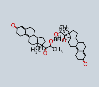 CC(OBOC(C)C(=O)C1(C)CCC2C3CCC4=CC(=O)CCC4=C3CCC21C)C(=O)C1(C)CCC2C3CCC4=CC(=O)CCC4=C3CCC21C